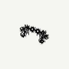 O=C(C1CCCO1)N1CSC[C@H]1c1ncc(-c2ccc(-c3ccc(-c4cnc([C@@H]5CSCN5C(=O)[C@H]5CCCO5)[nH]4)cc3)cc2)[nH]1